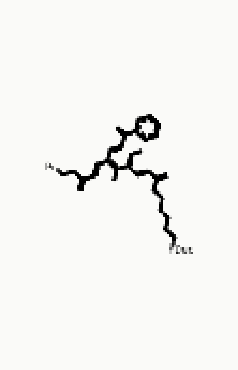 C=C(C=CC(=CC)C(C)=C(C=CC(=C)CCC(C)C)C=CC(=C)c1ccccc1)CCCCCCCCCCCCCCCC